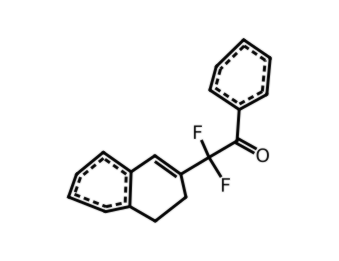 O=C(c1ccccc1)C(F)(F)C1=Cc2ccccc2CC1